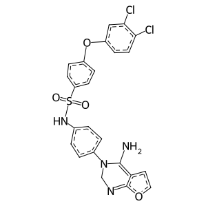 NC1=c2ccoc2=NCN1c1ccc(NS(=O)(=O)c2ccc(Oc3ccc(Cl)c(Cl)c3)cc2)cc1